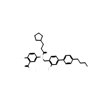 CCCCc1ccc(-c2ccc(CN(C(=O)CCC3CCCC3)c3ccc(O)c(C(=O)O)c3)c(F)c2)cc1